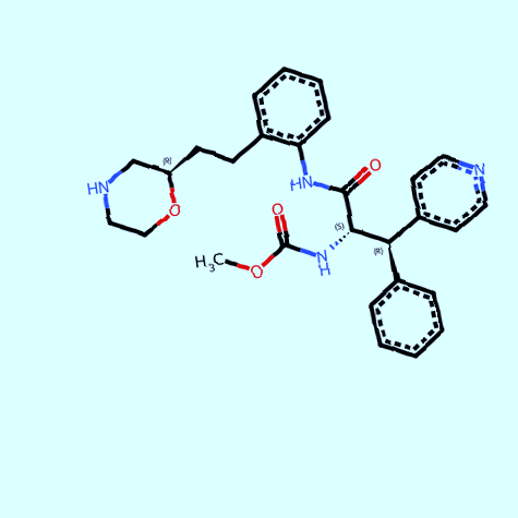 COC(=O)N[C@H](C(=O)Nc1ccccc1CC[C@@H]1CNCCO1)[C@H](c1ccccc1)c1ccncc1